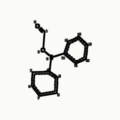 O=COB(c1ccccc1)c1ccccc1